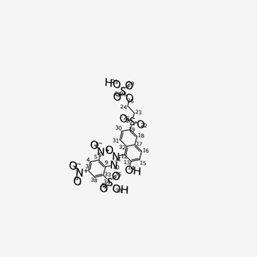 O=[N+]([O-])c1cc([N+](=O)[O-])c(N=Nc2c(O)ccc3cc(S(=O)(=O)CCOS(=O)(=O)O)ccc23)c(S(=O)(=O)O)c1